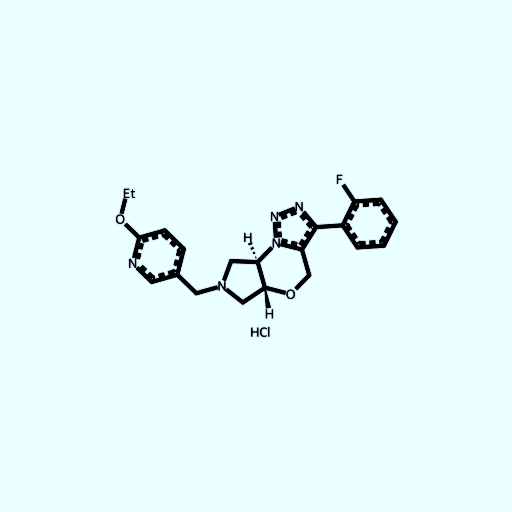 CCOc1ccc(CN2C[C@@H]3[C@@H](C2)OCc2c(-c4ccccc4F)nnn23)cn1.Cl